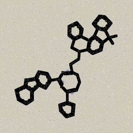 CC1(C)c2ccccc2-c2c1ccc1c2-c2ccccc2CC1CC/C1=N/C(c2ccc3oc4ccccc4c3c2)=N\C(c2ccccc2)=C/CC1